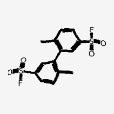 Cc1ccc(S(=O)(=O)F)cc1-c1cc(S(=O)(=O)F)ccc1C